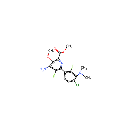 COC(=O)c1nc(-c2ccc(Cl)c(N(C)C)c2F)c(F)c(N)c1OC